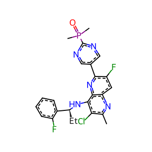 CC[C@H](Nc1c(Cl)c(C)nc2cc(F)c(-c3cnc(P(C)(C)=O)nc3)nc12)c1ccccc1F